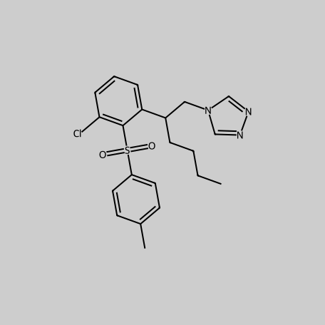 CCCCC(Cn1cnnc1)c1cccc(Cl)c1S(=O)(=O)c1ccc(C)cc1